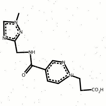 Cn1cnc(CNC(=O)c2cc[n+](CCC(=O)O)nc2)n1